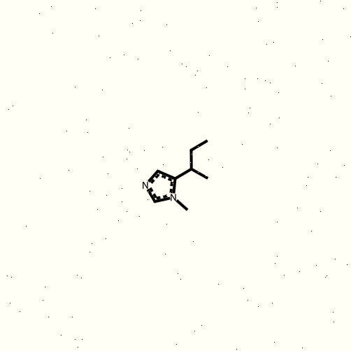 CCC(C)c1cncn1C